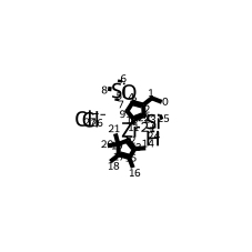 CCC1=C(O[Si](C)(C)C)C[C]([Zr+2][C]2=C(C)C(C)=C(C)C2(C)C)=C1[SiH](C)C.[Cl-].[Cl-]